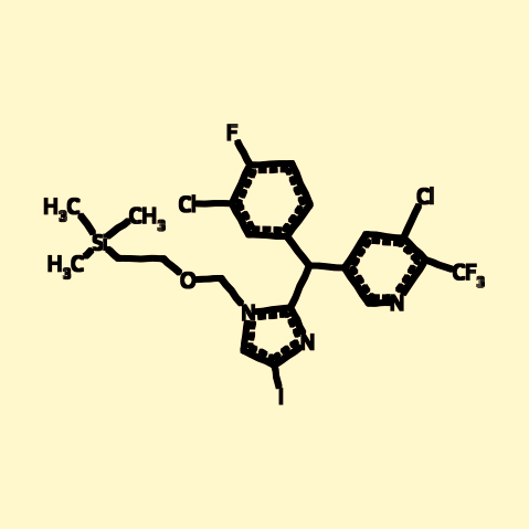 C[Si](C)(C)CCOCn1cc(I)nc1C(c1ccc(F)c(Cl)c1)c1cnc(C(F)(F)F)c(Cl)c1